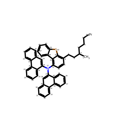 CC(C)CCCC(C)CCc1ccc(N(c2cc3ccccc3c3ccccc23)c2cc3ccccc3c3ccccc23)c2c1sc1ccccc12